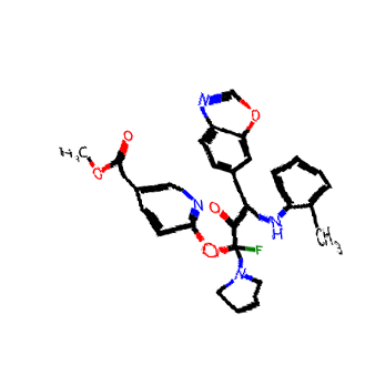 COC(=O)c1ccc(OC(F)(C(=O)C(Nc2ccccc2C)c2ccc3ncoc3c2)N2CCCC2)nc1